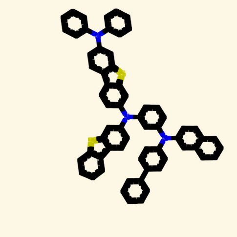 c1ccc(-c2ccc(N(c3cccc(N(c4ccc5c(c4)sc4ccccc45)c4ccc5c(c4)sc4cc(N(c6ccccc6)c6ccccc6)ccc45)c3)c3ccc4ccccc4c3)cc2)cc1